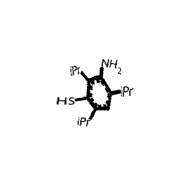 CC(C)c1cc(C(C)C)c(S)c(C(C)C)c1N